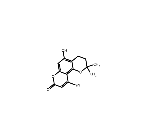 CCCc1cc(=O)oc2cc(O)c3c(c12)OC(C)(C)CC3